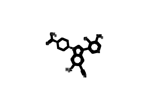 Cc1cc2c(cc1C#N)c(-c1cncc(N)c1Cl)cn2[C@H]1CC[C@H](C(C)=O)CC1